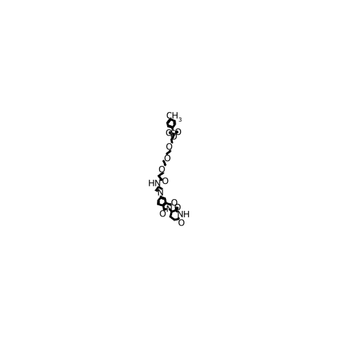 Cc1ccc(S(=O)(=O)OCCOCCOCCOCCC(=O)NC2CN(c3ccc4c(c3)C(=O)N(C3CCC(=O)NC3=O)C4=O)C2)cc1